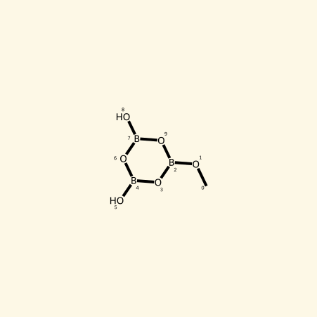 COB1OB(O)OB(O)O1